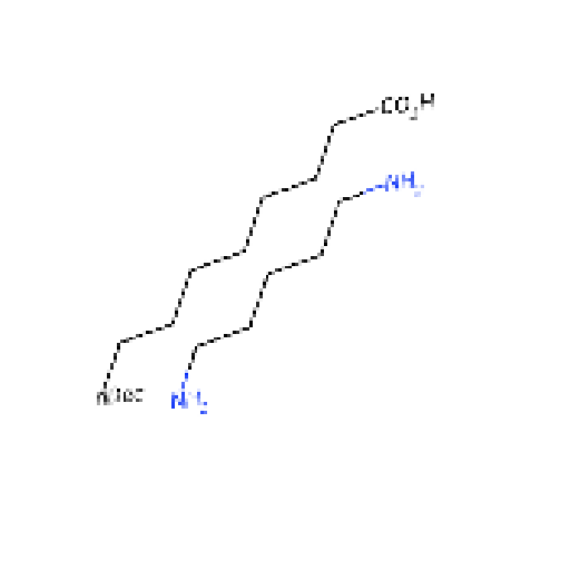 CCCCCCCCCCCCCCCCCC(=O)O.NCCCCCN